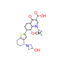 COc1c(-c2cc3c(s2)CCCC3N2CC(O)C2)ccc2c(=O)c(C(=O)O)cn(C3CC3)c12